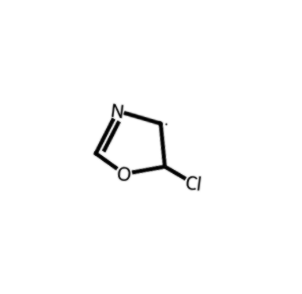 ClC1[CH]N=CO1